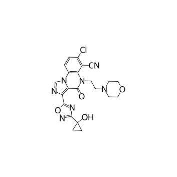 N#Cc1c(Cl)ccc2c1n(CCN1CCOCC1)c(=O)c1c(-c3nc(C4(O)CC4)no3)ncn12